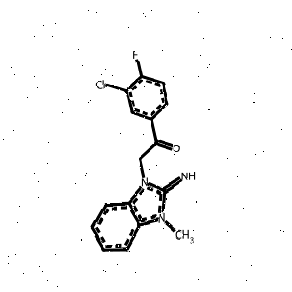 Cn1c(=N)n(CC(=O)c2ccc(F)c(Cl)c2)c2ccccc21